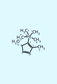 CC1=[C]([Hf]([CH3])([CH3])([CH3])[CH3])CC=C1.O